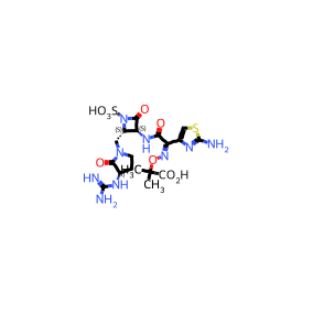 CC(C)(ON=C(C(=O)N[C@@H]1C(=O)N(S(=O)(=O)O)[C@H]1CN1CC[C@@H](NC(=N)N)C1=O)c1csc(N)n1)C(=O)O